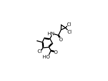 Cc1cc(NC(=O)C2CC2(Cl)Cl)cc(C(=O)O)c1Cl